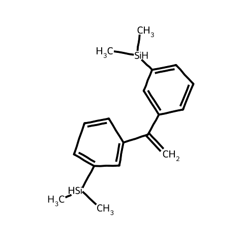 C=C(c1cccc([SiH](C)C)c1)c1cccc([SiH](C)C)c1